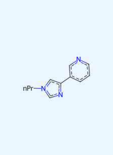 CCCn1cnc(-c2cccnc2)c1